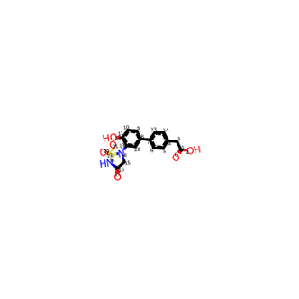 O=C(O)Cc1ccc(-c2ccc(O)c(N3CC(=O)NS3(=O)=O)c2)cc1